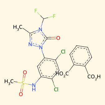 Cc1nn(-c2cc(NS(C)(=O)=O)c(Cl)cc2Cl)c(=O)n1C(F)F.O=C(O)c1ccccc1C(=O)O